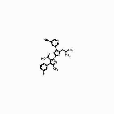 Cc1nn(-c2nc(-c3cncc(C#N)c3)c(SC(C)C)s2)c(C(=O)O)c1-c1cccc(F)c1